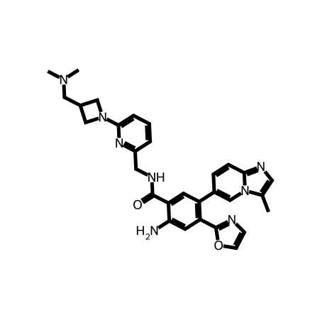 Cc1cnc2ccc(-c3cc(C(=O)NCc4cccc(N5CC(CN(C)C)C5)n4)c(N)cc3-c3ncco3)cn12